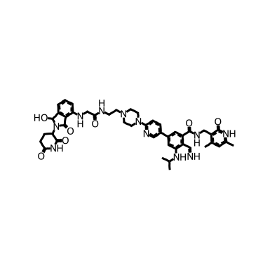 Cc1cc(C)c(CNC(=O)c2cc(-c3ccc(N4CCN(CCNC(=O)CNc5cccc6c5C(=O)N(C5CCC(=O)NC5=O)C6O)CC4)nc3)cc(NC(C)C)c2C=N)c(=O)[nH]1